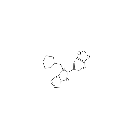 c1ccc2c(c1)nc(-c1ccc3c(c1)OCO3)n2CC1CCCCC1